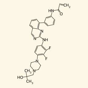 C=CC(=O)Nc1cccc(-c2cccc3cnc(Nc4ccc(N5CCN(CC(C)(C)O)CC5)c(F)c4F)nc23)c1